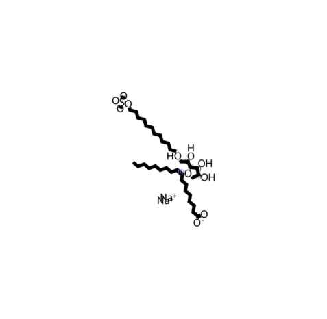 CCCCCCCC/C=C\CCCCCCCC(=O)[O-].CCCCCCCCCCCCOS(=O)(=O)[O-].OC[C@@H](O)[C@H]1OC[C@H](O)[C@H]1O.[Na+].[Na+]